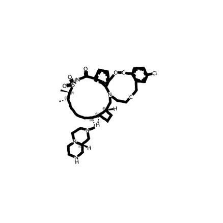 C[C@@H]1[C@@H](C)CCC[C@@H](CN2CCN3CCNC[C@H]3C2)[C@@H]2CC[C@H]2CN2CCCCc3cc(Cl)ccc3COc3ccc(cc32)C(=O)NS1(=O)=O